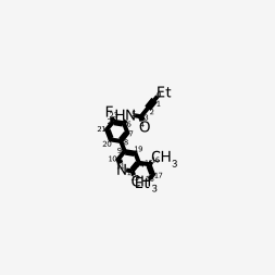 CCC#CC(=O)Nc1cc(-c2cnc(C)c(/C(C)=C\CC)c2)ccc1F